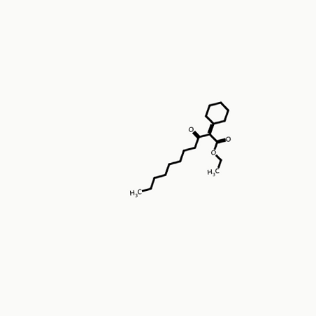 CCCCCCCCC(=O)C(C(=O)OCC)=C1CCCCC1